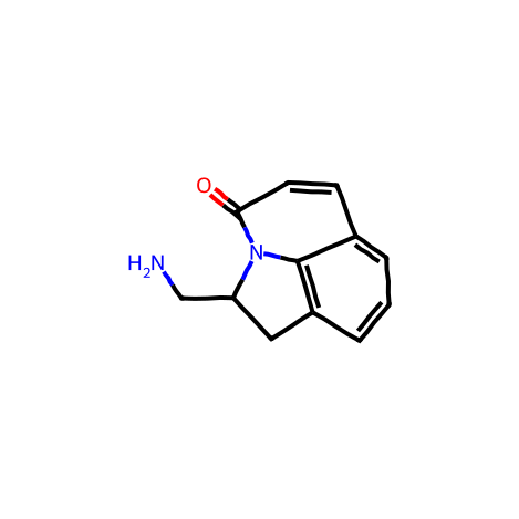 NCC1Cc2cccc3ccc(=O)n1c23